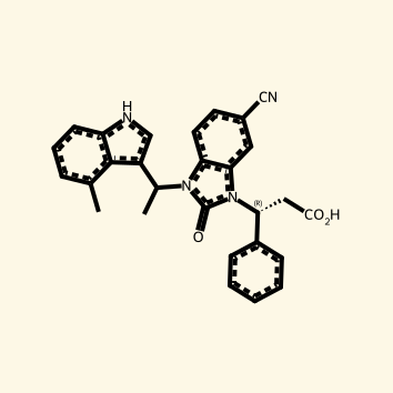 Cc1cccc2[nH]cc(C(C)n3c(=O)n([C@H](CC(=O)O)c4ccccc4)c4cc(C#N)ccc43)c12